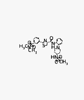 CN(C)S(=O)(=O)c1cccc(-c2nc(C(=O)Nc3ccccc3N3CCC(NS(C)(=O)=O)CC3)cs2)c1